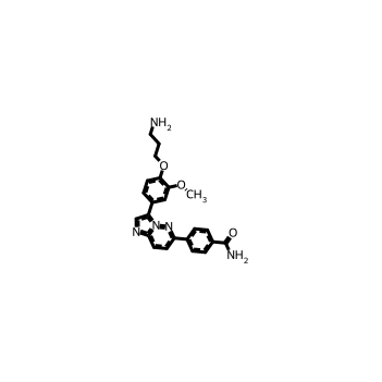 COc1cc(-c2cnc3ccc(-c4ccc(C(N)=O)cc4)nn23)ccc1OCCCN